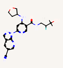 CC(C)(O)C(F)CNC(=O)c1cnc(-n2ncc3cc(C#N)cnc32)cc1NC1CCOC1